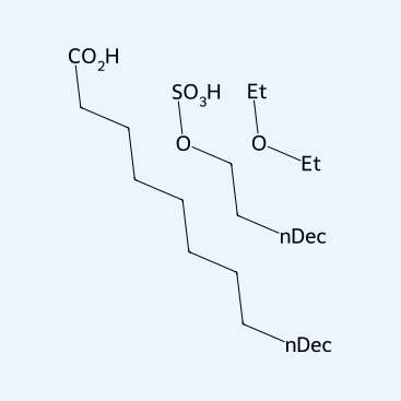 CCCCCCCCCCCCCCCCCC(=O)O.CCCCCCCCCCCCOS(=O)(=O)O.CCOCC